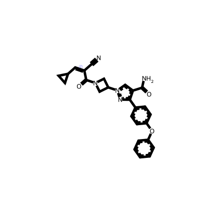 N#C/C(=C/C1CC1)C(=O)N1CC(n2cc(C(N)=O)c(-c3ccc(Oc4ccccc4)cc3)n2)C1